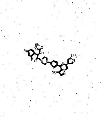 Cn1cc(-c2cn3ncc(C#N)c3c(-c3ccc(N4CCN(C(=O)C(NC(=O)OC(C)(C)C)c5ccc(F)cc5F)CC4)nc3)n2)cn1